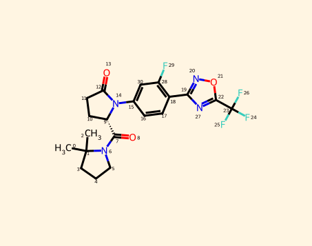 CC1(C)CCCN1C(=O)[C@@H]1CCC(=O)N1c1ccc(-c2noc(C(F)(F)F)n2)c(F)c1